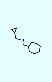 C1CCCC(C[N]CC2CC2)CC1